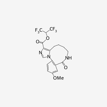 COc1ccc2c(c1)C(=O)NCCCCc1c(C(=O)OC(C(F)(F)F)C(F)(F)F)ncn1-2